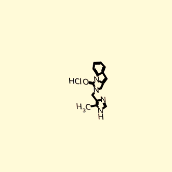 Cc1[nH]cnc1CN1Cc2cc3ccccc3n2C1=O.Cl